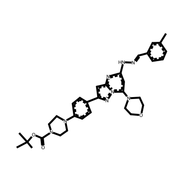 Cc1cccc(C=NNc2cc(N3CCOCC3)n3nc(-c4ccc(N5CCN(C(=O)OC(C)(C)C)CC5)cc4)cc3n2)c1